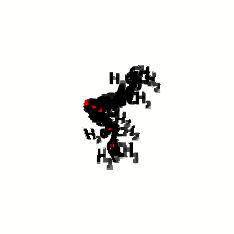 C=Cc1cc(C(=C)Oc2ccc(C3(c4ccc(OC(=O)c5ccc(C(=C)CCCOC(=C)C(=C)C)c(C(C)=O)c5)cc4)CCCCC3)cc2)ccc1C(=C)CCCCC(=O)C(=C)C